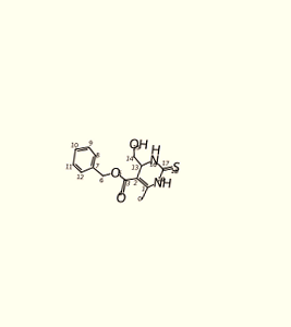 CC1=C(C(=O)OCc2ccccc2)C(CO)NC(=S)N1